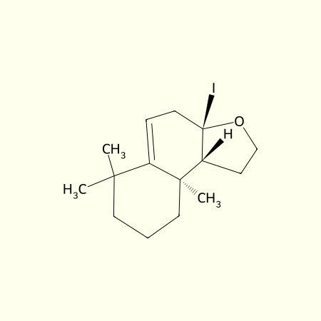 CC1(C)CCC[C@@]2(C)C1=CC[C@]1(I)OCC[C@H]21